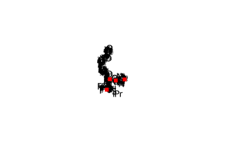 CC(C)Sc1ccc(OC(F)F)c(-c2nn(CC(=O)N3CCN(CC4CCN(CC(=O)N5CCOCC5)CC4)CC3)cc2NC(=O)c2cnn3cccnc23)c1